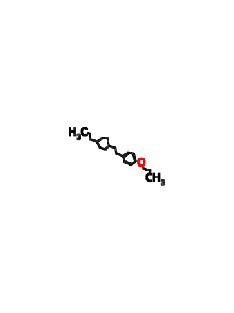 CCCOc1ccc(CCC2CCC(CCC)CC2)cc1